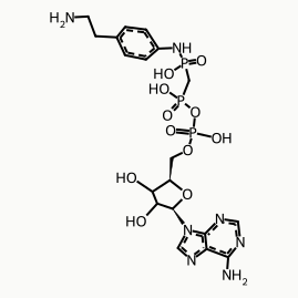 NCCc1ccc(NP(=O)(O)CP(=O)(O)OP(=O)(O)OC[C@H]2O[C@@H](n3cnc4c(N)ncnc43)C(O)C2O)cc1